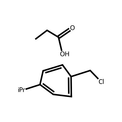 CC(C)c1ccc(CCl)cc1.CCC(=O)O